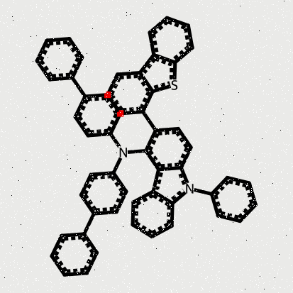 c1ccc(-c2ccc(N(c3ccc(-c4ccccc4)cc3)c3c(-c4cccc5c4sc4ccccc45)ccc4c3c3ccccc3n4-c3ccccc3)cc2)cc1